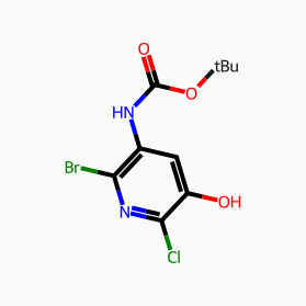 CC(C)(C)OC(=O)Nc1cc(O)c(Cl)nc1Br